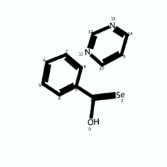 OC(=[Se])c1ccccc1.c1cncnc1